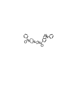 O=C(c1ccccc1)N1CCN(C2CN(C(=O)c3ccc4c(cnn4-c4ccccc4)c3)C2)CC1